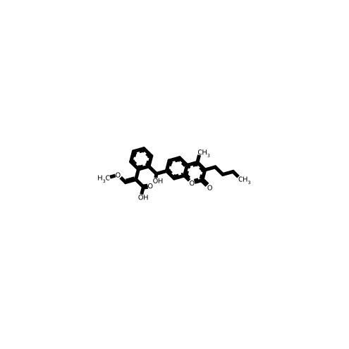 CCCCc1c(C)c2ccc(C(O)c3ccccc3/C(=C\OC)C(=O)O)cc2oc1=O